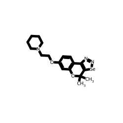 CC1(C)Oc2cc(OCCN3CCCCC3)ccc2-c2nn[se]c21